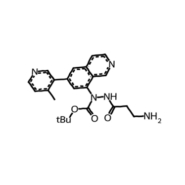 Cc1ccncc1-c1cc(N(NC(=O)CCN)C(=O)OC(C)(C)C)c2cnccc2c1